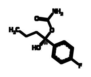 CCC[C@](O)(OC(N)=O)c1ccc(F)cc1